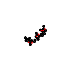 c1ccc(-c2cc(-c3ccccc3)c3oc4cccc(-c5c6ccccc6c(-c6ccc(-c7ccc(-c8c9ccccc9c(-c9ccc%10c(-c%11ccc(-c%12c%13ccccc%13c(-c%13cc%14ccccc%14c%14ccccc%13%14)c%13ccccc%12%13)c%12c%11oc%11c%13ccccc%13ccc%11%12)cccc%10c9)c9ccccc89)c8c7oc7c9ccccc9ccc78)c7ccccc67)c6ccccc56)c4c3c2)cc1